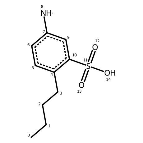 CCCCc1ccc([NH])cc1S(=O)(=O)O